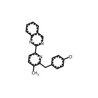 Cc1ccc(-c2ncc3ccccc3n2)nc1Cc1ccc(Cl)cc1